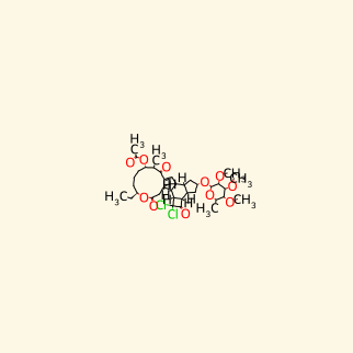 CC[C@H]1CCC[C@H](OC(C)=O)[C@@H](C)C(=O)C2=C[C@H]3[C@@H]4C[C@H](O[C@@H]5OC(C)[C@H](OC)C(OC)C5OC)C[C@H]4[C@@H]4C(=O)C(Cl)(Cl)[C@@H]4[C@H]3[C@@H]2CC(=O)O1